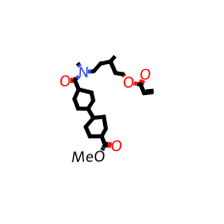 C=CC(=O)OCCC(C)CCN(C)C(=O)C1CCC(C2CCC(C(=O)OC)CC2)CC1